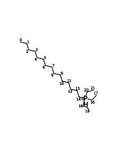 CCCCCCCCCCCCCCC[PH](CC)(CC)CC